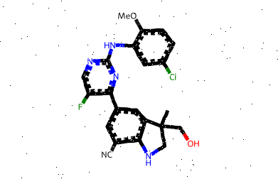 COc1ccc(Cl)cc1Nc1ncc(F)c(-c2cc(C#N)c3c(c2)C(C)(CO)CN3)n1